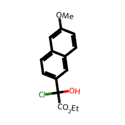 CCOC(=O)C(O)(Cl)c1ccc2cc(OC)ccc2c1